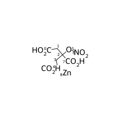 O=C(O)CC(CC(=O)O)(O[N+](=O)[O-])C(=O)O.[Zn]